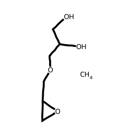 C.OCC(O)COCC1CO1